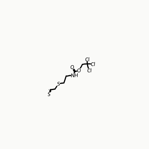 O=C(NCCSC[C]=S)OCC(Cl)(Cl)Cl